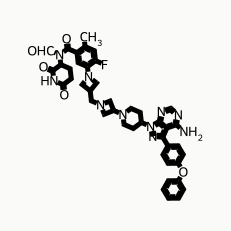 Cc1cc(F)c(N2CC(CN3CC(N4CCC(n5nc(-c6ccc(Oc7ccccc7)cc6)c6c(N)ncnc65)CC4)C3)C2)cc1C(=O)N(C=O)C1CCC(=O)NC1=O